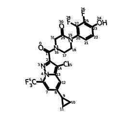 O=C(c1nn2c(C(F)(F)F)cc(C3CC3)cc2c1Cl)N1CCN(c2ccc(O)c(F)c2F)C(=O)C1